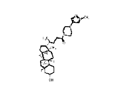 CC(CCC(=O)N1CCN(c2cnn(C)c2)CC1)[C@H]1CC[C@H]2[C@@H]3CC[C@H]4C[C@@H](O)CC[C@]4(C)[C@H]3CC[C@]12C